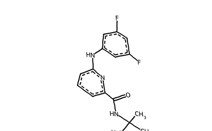 CC(C)(C)NC(=O)c1cccc(Nc2cc(F)cc(F)c2)n1